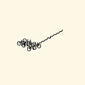 CCCCCCCC/C=C/CCCCCCCC(=O)NC1CCCN(C(=O)CCNC(=O)C(O)C(C)(C)CO)C1